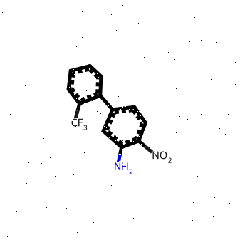 Nc1cc(-c2ccccc2C(F)(F)F)ccc1[N+](=O)[O-]